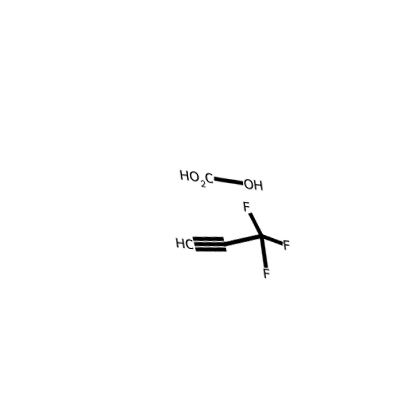 C#CC(F)(F)F.O=C(O)O